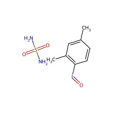 Cc1ccc(I=O)c(C)c1.NS(N)(=O)=O